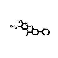 CCOC(=O)c1cc2c(=O)c3ccc(C4CCCCC4)cc3oc2nc1N